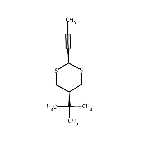 CC#C[C@H]1SC[C@@H](C(C)(C)C)CS1